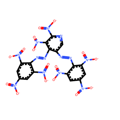 O=[N+]([O-])c1cc([N+](=O)[O-])c(N=Nc2cnc([N+](=O)[O-])c([N+](=O)[O-])c2N=Nc2c([N+](=O)[O-])cc([N+](=O)[O-])cc2[N+](=O)[O-])c([N+](=O)[O-])c1